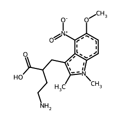 COc1ccc2c(c(CC(CCN)C(=O)O)c(C)n2C)c1[N+](=O)[O-]